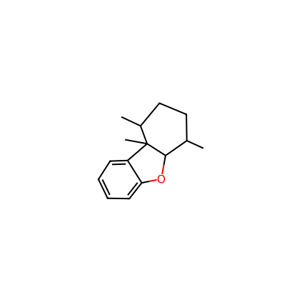 CC1CCC(C)C2(C)c3ccccc3OC12